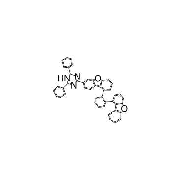 c1ccc(C2=NC(c3ccc4c(c3)oc3cccc(-c5ccccc5-c5cccc6oc7ccccc7c56)c34)=NC(c3ccccc3)N2)cc1